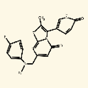 CCN(Cc1cc(=O)n2c(-c3ccc(=O)[nH]c3)c(C)sc2n1)c1ccc(F)cc1